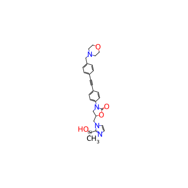 C[C@H](O)c1nccn1CC1CN(c2ccc(C#Cc3ccc(CN4CCOCC4)cc3)cc2)C(=O)O1